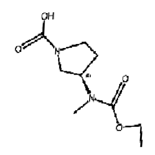 CCOC(=O)N(C)[C@@H]1CCN(C(=O)O)C1